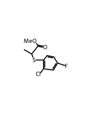 COC(=O)C(C)Sc1c[c]c(F)cc1Cl